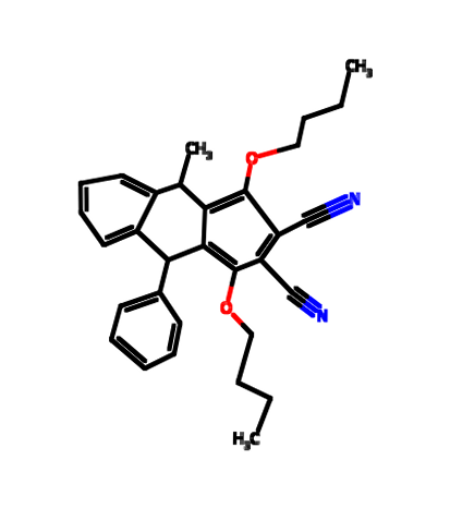 CCCCOc1c(C#N)c(C#N)c(OCCCC)c2c1C(C)c1ccccc1C2c1ccccc1